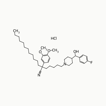 CCCCCCCCCCCCC(C#N)(CCCCCN1CCC(C(O)c2ccc(F)cc2)CC1)c1ccc(OC)c(OC)c1.Cl